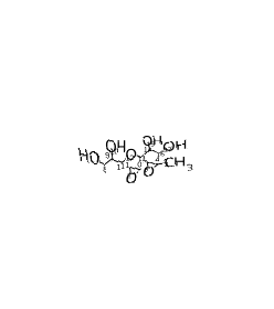 C1CO1.CC1CO1.OCC(O)COCC(O)CO